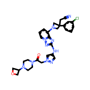 N#CCC1(c2cccc(Cl)c2)CN(c2cccn3nc(Nc4cnn(CC(=O)N5CCN(C6COC6)CC5)c4)nc23)C1